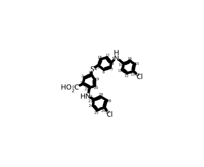 O=C(O)c1cc(Sc2ccc(Nc3ccc(Cl)cc3)cc2)ccc1Nc1ccc(Cl)cc1